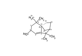 CC1(C)C2=CC(O)CC(C)(C)[C@]23CCC1C3